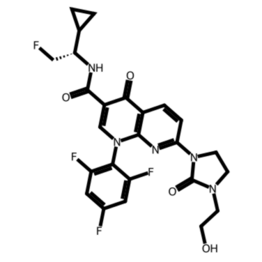 O=C(N[C@H](CF)C1CC1)c1cn(-c2c(F)cc(F)cc2F)c2nc(N3CCN(CCO)C3=O)ccc2c1=O